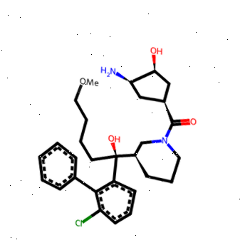 COCCCC[C@@](O)(c1cccc(Cl)c1-c1ccccc1)[C@@H]1CCCN(C(=O)[C@H]2C[C@@H](N)[C@@H](O)C2)C1